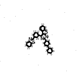 c1ccc(-c2ccc(-c3nc(-c4cccc(-c5nc6ccccc6s5)c4)c4c(n3)sc3ccccc34)cc2)cc1